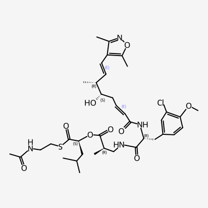 COc1ccc(C[C@@H](NC(=O)/C=C/C[C@H](O)[C@H](C)/C=C/c2c(C)noc2C)C(=O)NC[C@@H](C)C(=O)O[C@@H](CC(C)C)C(=O)SCCNC(C)=O)cc1Cl